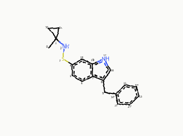 CC1(NSc2ccc3c(Cc4ccccc4)c[nH]c3c2)CC1